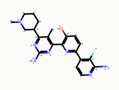 Cc1c(-c2nc(-c3ccnc(N)c3F)ccc2O)nc(N)nc1C1CCCN(C)C1